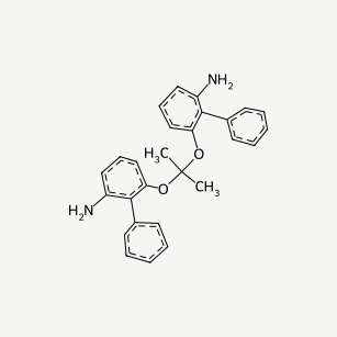 CC(C)(Oc1cccc(N)c1-c1ccccc1)Oc1cccc(N)c1-c1ccccc1